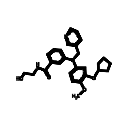 COc1ccc(N(Cc2cccnc2)c2cccc(C(=O)NCCO)c2)cc1OC1CCCC1